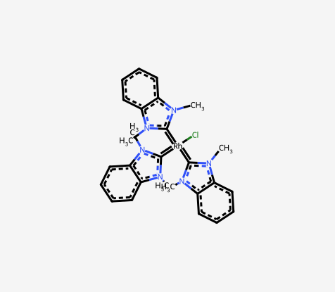 Cn1[c](=[Rh]([Cl])(=[c]2n(C)c3ccccc3n2C)=[c]2n(C)c3ccccc3n2C)n(C)c2ccccc21